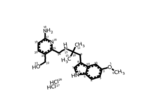 COc1ccc2[nH]cc(CC(C)(C)NCc3nc(N)ccc3CO)c2c1.Cl.Cl